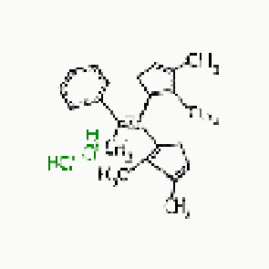 CC1=CC[C]([Zr]([C]2=C(C)C(C)=CC2)=[C](C)c2ccccc2)=C1C.Cl.Cl